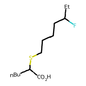 CCCCC(SCCCCC(F)CC)C(=O)O